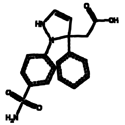 NS(=O)(=O)c1ccc(N2NC=CC2(CC(=O)O)c2ccccc2)cc1